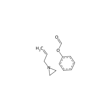 C=CCN1CC1.O=COc1ccccc1